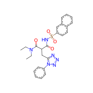 CCN(CC)C(=O)C(Cc1nnnn1-c1ccccc1)C(=O)NS(=O)(=O)c1ccc2ccccc2c1